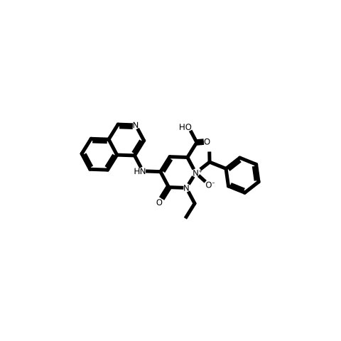 CCN1C(=O)C(Nc2cncc3ccccc23)=CC(C(=O)O)[N+]1([O-])C(C)c1ccccc1